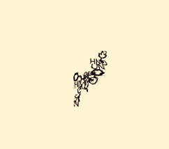 CC(C)CN(CC(O)C(Cc1ccccc1)NC(=O)OCc1cncs1)S(=O)(=O)c1ccc2nc(NC(=O)C3CCN(C)CC3)oc2c1